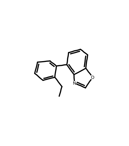 CCc1ccccc1-c1cccc2ocnc12